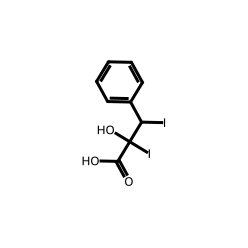 O=C(O)C(O)(I)C(I)c1ccccc1